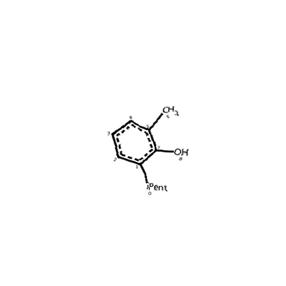 CCCC(C)c1cccc(C)c1O